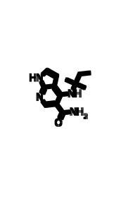 CCC(C)(C)Nc1c(C(N)=O)cnc2[nH]ccc12